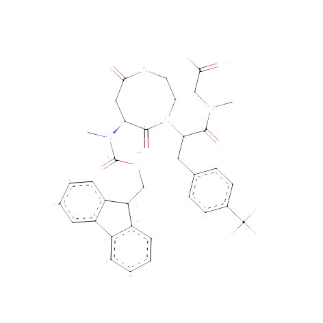 CN(CC(=O)O)C(=O)C(Cc1ccc(C(F)(F)F)cc1)N1CCNC(=O)C[C@H](N(C)C(=O)OCC2c3ccccc3-c3ccccc32)C1=O